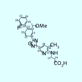 COCc1cc(-c2nc(-c3cnc(NCCC(=O)O)c(C)c3)no2)ccc1-c1ccccc1F